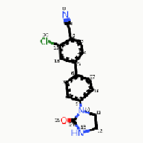 N#Cc1ccc(-c2ccc(N3CCNC3=O)cc2)cc1Cl